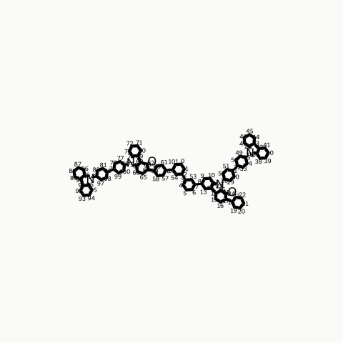 c1cc(-c2cccc(-c3ccc4c(c3)c3ccc5c6ccccc6oc5c3n4-c3ccc(-c4ccc(-n5c6ccccc6c6ccccc65)cc4)cc3)c2)cc(-c2ccc3c(c2)oc2c3ccc3c2c2ccccc2n3-c2ccc(-c3ccc(-n4c5ccccc5c5ccccc54)cc3)cc2)c1